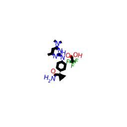 Cc1cc(N(C)C)nc(N[C@H]2CC[C@@H](C3(C(N)=O)CC3)CC2)n1.O=C(O)C(F)(F)F